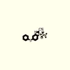 CN(C)S(=O)(=O)n1c(C#N)nc2cc(Sc3ccccc3)ccc21